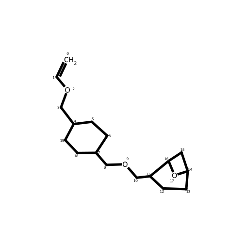 C=COCC1CCC(COCC2CCC3CC2O3)CC1